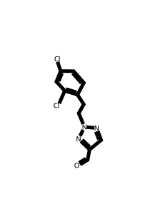 O=Cc1cnn(CCc2ccc(Cl)cc2Cl)n1